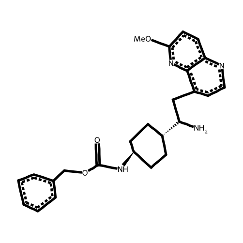 COc1ccc2nccc(CC(N)[C@H]3CC[C@H](NC(=O)OCc4ccccc4)CC3)c2n1